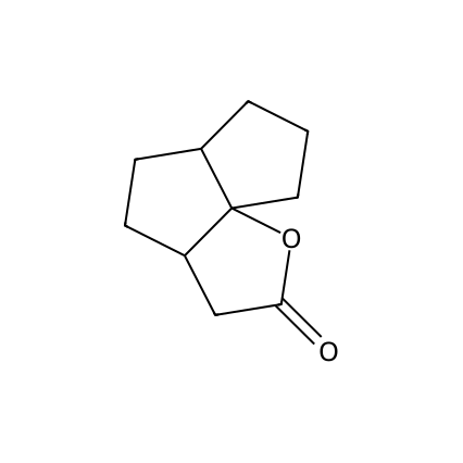 O=C1CC2CCC3CCCC32O1